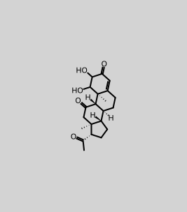 CC(=O)[C@H]1CC[C@H]2[C@@H]3CCC4=CC(=O)C(O)C(O)[C@]4(C)[C@H]3C(=O)C[C@]12C